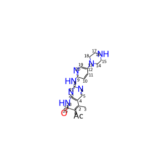 CC(=O)c1c(C)c2cnc(Nc3ccc(N4CCNCC4)cn3)nc2[nH]c1=O